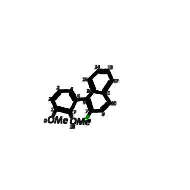 COc1cccc(-c2c(F)ccc3ccccc23)c1OC